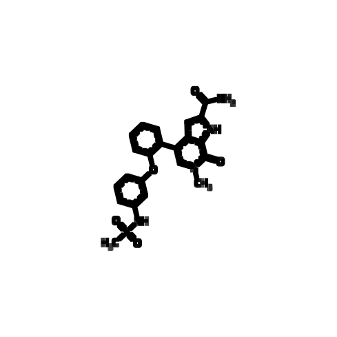 Cn1cc(-c2ccccc2Oc2cccc(NS(C)(=O)=O)c2)c2cc(C(N)=O)[nH]c2c1=O